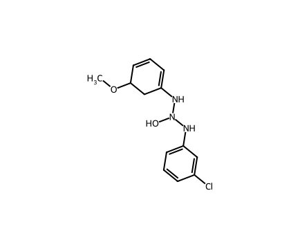 COC1C=CC=C(NN(O)Nc2cccc(Cl)c2)C1